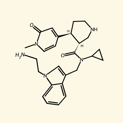 Cn1ccc([C@H]2CCNC[C@@H]2C(=O)N(Cc2cn(CCN)c3ccccc23)C2CC2)cc1=O